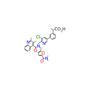 Cc1nc2ccccc2c(C(=O)N(Cc2ccc(C(=O)N(C)C)o2)Cc2ncc(-c3cccc(C(C)C(=O)O)c3)cc2Cl)c1C